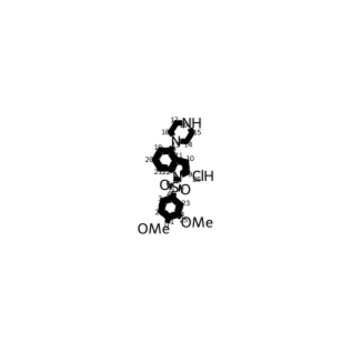 COc1ccc(S(=O)(=O)n2ccc3c(N4CCNCC4)cccc32)cc1OC.Cl